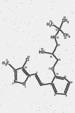 Cc1noc(C=Cc2ccccc2OCC(O)CNC(C)(C)C)c1Cl